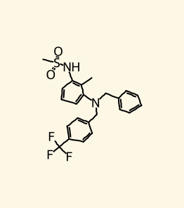 Cc1c(NS(C)(=O)=O)cccc1N(Cc1ccccc1)Cc1ccc(C(F)(F)F)cc1